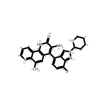 Cc1cc2c(-c3ccc(F)c4nn(C5CCCCO5)cc34)c(N)c(=O)[nH]c2c2cccnc12